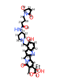 CC[C@@]1(O)C(=O)OCc2c1cc1n(c2=O)Cc2cc3c(CN4CCC(NC(=O)CCCN5C(=O)C=CC5=O)CC4)c(O)ccc3nc2-1